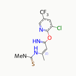 CNC(=S)N/C(C)=C\C(=N)Oc1ncc(C(F)(F)F)cc1Cl